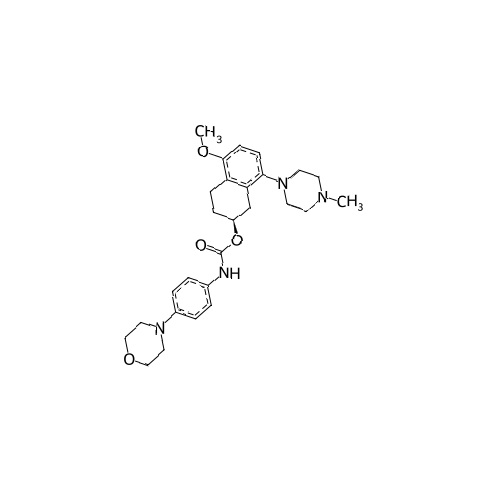 COc1ccc(N2CCN(C)CC2)c2c1CC[C@H](OC(=O)Nc1ccc(N3CCOCC3)cc1)C2